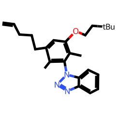 C=CCCCc1cc(OCCC(C)(C)C)c(C)c(-n2nnc3ccccc32)c1C